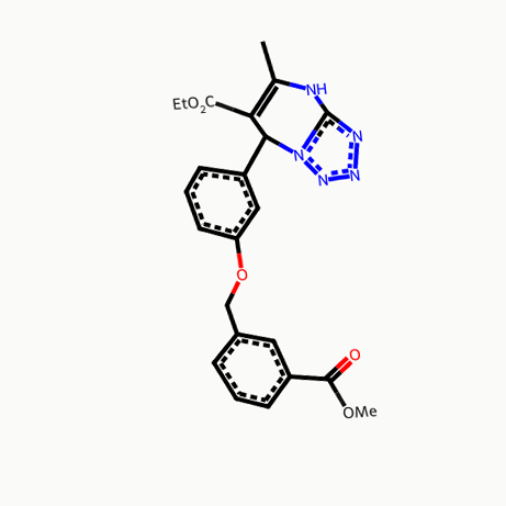 CCOC(=O)C1=C(C)Nc2nnnn2C1c1cccc(OCc2cccc(C(=O)OC)c2)c1